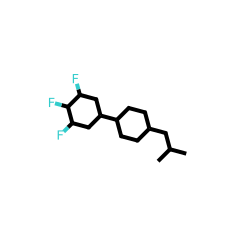 CC(C)CC1CCC(C2CC(F)C(F)C(F)C2)CC1